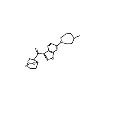 CN1CCCN(c2ccc3c(C(=O)N4CCN5CCC4CC5)nsc3c2)CC1